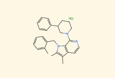 Cc1ccccc1Cn1c(C)c(C)c2ccnc(N3CCCC(c4ccccc4)C3)c21.Cl